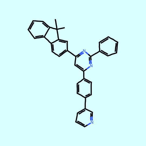 CC1(C)c2ccccc2-c2ccc(-c3cc(-c4ccc(-c5cccnc5)cc4)nc(-c4ccccc4)n3)cc21